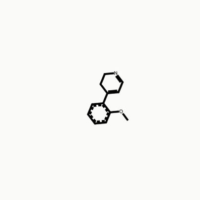 COc1ccccc1C1=CC=NCC1